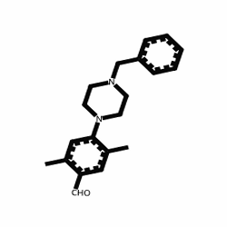 Cc1cc(N2CCN(Cc3ccccc3)CC2)c(C)cc1C=O